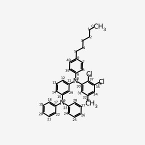 CCCCCCc1ccc(N(c2cccc(N(c3ccccc3)c3ccccc3)c2)c2cc(C)cc(Cl)c2Cl)cc1